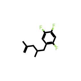 C=C(C)CC(C)Cc1cc(F)c(F)cc1F